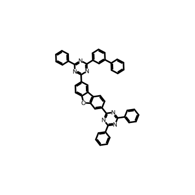 c1ccc(-c2cccc(-c3nc(-c4ccccc4)nc(-c4ccc5oc6cc(-c7nc(-c8ccccc8)nc(-c8ccccc8)n7)ccc6c5c4)n3)c2)cc1